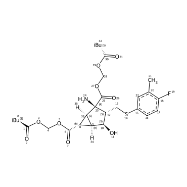 CC[C@H](C)C(=O)OCOC(=O)[C@H]1[C@@H]2[C@H](O)[C@@H](CSc3ccc(F)c(C)c3)[C@@](N)(C(=O)OCOC(=O)[C@@H](C)CC)[C@H]12